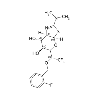 CN(C)C1=N[C@@H]2[C@@H](O)[C@H](O)C([C@@H](OCc3ccccc3F)C(F)(F)F)O[C@@H]2S1